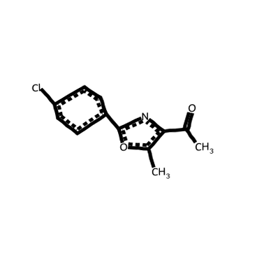 CC(=O)c1nc(-c2ccc(Cl)cc2)oc1C